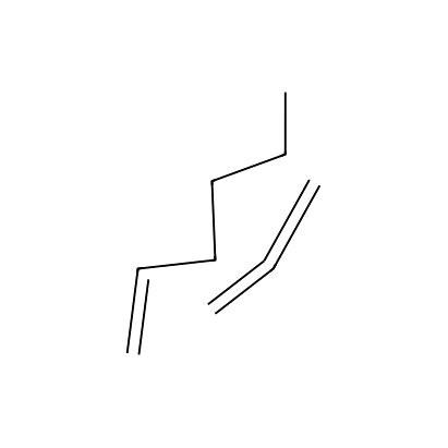 C=C=C.C=CCCCC